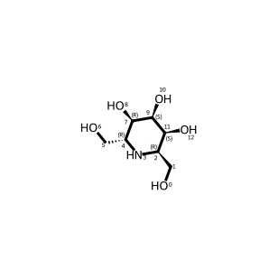 OC[C@H]1N[C@H](CO)[C@@H](O)[C@@H](O)[C@H]1O